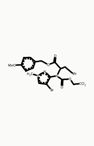 COc1ccc(COC(=O)C(CC(C)C)N(C(=O)OCC(Cl)(Cl)Cl)c2nn(C)cc2Br)cc1